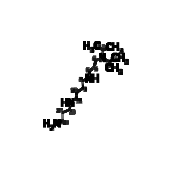 CC(C)N(CCCNCCCCNCCCN)C(C)C